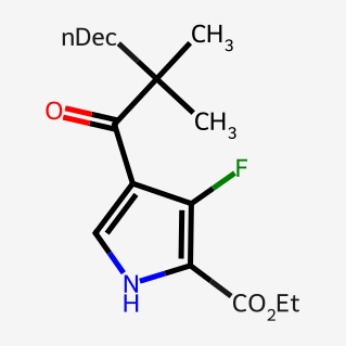 CCCCCCCCCCC(C)(C)C(=O)c1c[nH]c(C(=O)OCC)c1F